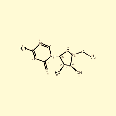 Nc1ncn([C@@H]2O[C@H](C[SiH2])[C@@H](O)[C@H]2O)c(=O)n1